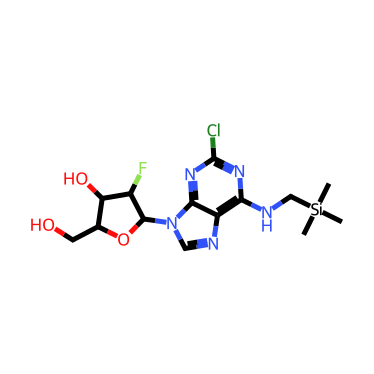 C[Si](C)(C)CNc1nc(Cl)nc2c1ncn2C1OC(CO)C(O)C1F